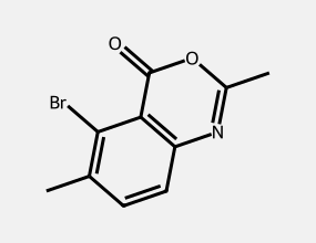 Cc1nc2ccc(C)c(Br)c2c(=O)o1